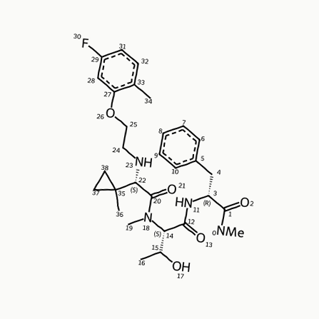 CNC(=O)[C@@H](Cc1ccccc1)NC(=O)[C@H](C(C)O)N(C)C(=O)[C@@H](NCCOc1cc(F)ccc1C)C1(C)CC1